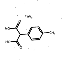 Cc1ccc(C(C(=O)O)C(=O)O)cc1.[CaH2]